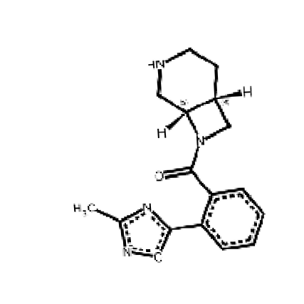 Cc1noc(-c2ccccc2C(=O)N2C[C@H]3CCNC[C@H]32)n1